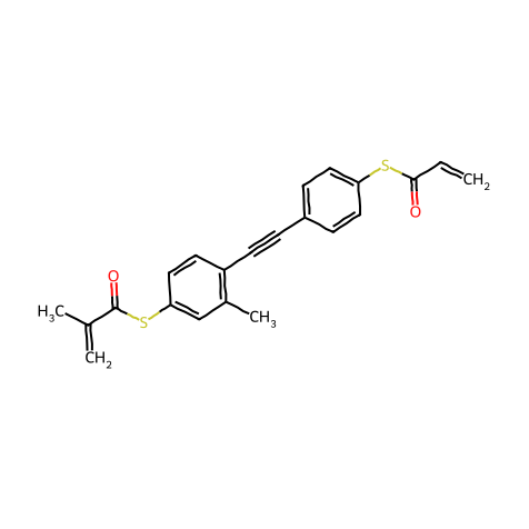 C=CC(=O)Sc1ccc(C#Cc2ccc(SC(=O)C(=C)C)cc2C)cc1